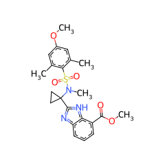 COC(=O)c1cccc2nc(C3(N(C)S(=O)(=O)c4c(C)cc(OC)cc4C)CC3)[nH]c12